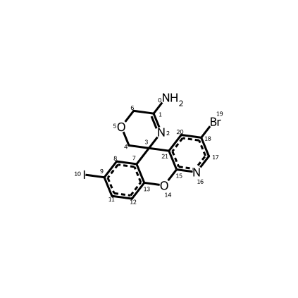 NC1=NC2(COC1)c1cc(I)ccc1Oc1ncc(Br)cc12